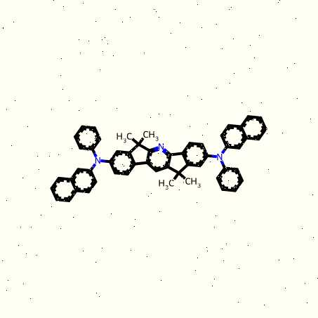 CC1(C)c2cc(N(c3ccccc3)c3ccc4ccccc4c3)ccc2-c2nc3c(cc21)-c1ccc(N(c2ccccc2)c2ccc4ccccc4c2)cc1C3(C)C